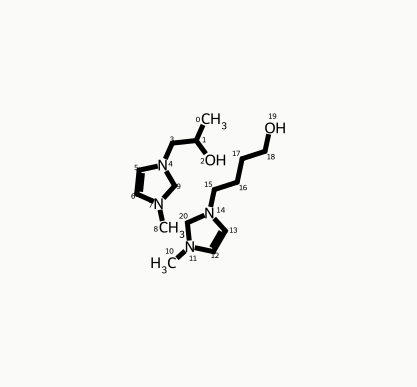 CC(O)CN1C=CN(C)C1.CN1C=CN(CCCCO)C1